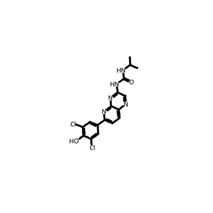 CC(C)NC(=O)Nc1cnc2ccc(-c3cc(Cl)c(O)c(Cl)c3)nc2n1